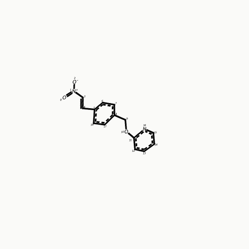 O=[N+]([O-])/C=C/c1ccc(COc2ccccn2)cc1